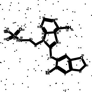 CCc1cc2c(cc1Sc1nc3c(N)ncnc3n1CCNS(=O)(=O)C(C)(C)C)OCC2